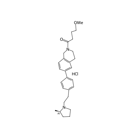 COCCCC(=O)N1CCc2cc(-c3ccc(CCN4CCC[C@H]4C)cc3)ccc2C1.Cl